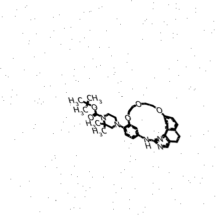 CC(C)(C)OC(=O)N1CCN(c2ccc3cc2OCCOCCOc2ccc4c(c2)-c2nc(ncc2CC4)N3)CC1(C)C